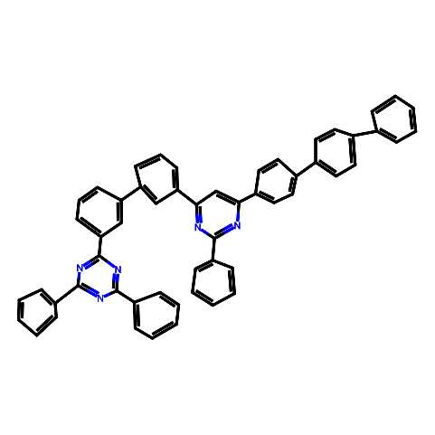 c1ccc(-c2ccc(-c3ccc(-c4cc(-c5cccc(-c6cccc(-c7nc(-c8ccccc8)nc(-c8ccccc8)n7)c6)c5)nc(-c5ccccc5)n4)cc3)cc2)cc1